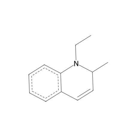 CCN1c2ccccc2C=CC1C